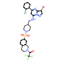 O=C(N1CCc2ccc(S(=O)(=O)N3CCC(CNc4cc(-c5ccccc5Cl)nc5c(Br)cnn45)CC3)cc2C1)C(F)(F)F